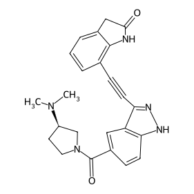 CN(C)[C@@H]1CCN(C(=O)c2ccc3[nH]nc(C#Cc4cccc5c4NC(=O)C5)c3c2)C1